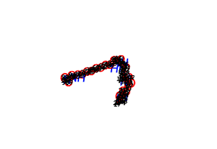 COc1cc2c(cc1OCCCOc1cc3c(cc1OC)C(=O)N1C=C(C4CC4)C[C@H]1C=N3)N=C[C@@H]1CC(c3ccc(NC(=O)[C@H](C)CCCC(=O)C(NC(=O)CCOCCOCCOCCOCCOCCOCCOCCOCCNC(=O)CCN4C(=O)C=CC4=O)C(C)C)cc3)=CN1C2=O